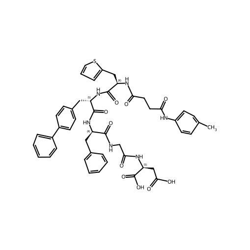 Cc1ccc(NC(=O)CCC(=O)N[C@H](Cc2cccs2)C(=O)N[C@@H](Cc2ccc(-c3ccccc3)cc2)C(=O)N[C@H](Cc2ccccc2)C(=O)NCC(=O)N[C@@H](CC(=O)O)C(=O)O)cc1